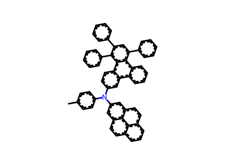 Cc1ccc(N(c2cc3ccc4cccc5ccc(c2)c3c45)c2ccc3c(c2)c2ccccc2c2c(-c4ccccc4)cc(-c4ccccc4)c(-c4ccccc4)c32)cc1